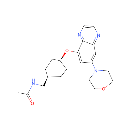 CC(=O)NC[C@H]1CC[C@@H](Oc2cc(N3CCOCC3)cc3nccnc23)CC1